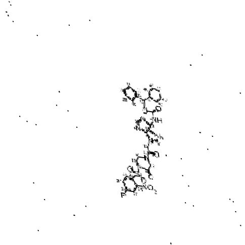 O=C(Nc1ncnc2c1ncn2CC(=O)N1CCN(S(=O)(=O)c2ccc(F)cc2[N+](=O)[O-])C(=O)C1)OC(c1ccccc1)c1ccccc1